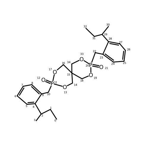 CCC(C)c1ccccc1CP1(=O)OCC2(CO1)COP(=O)(Cc1ccccc1C(C)CC)OC2